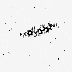 CC(C(N)=O)c1cnc(C2=CCN(C(=O)Nc3ccc(C(F)(F)F)cc3)CC2)c(Cl)c1